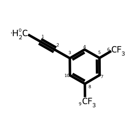 [CH2]C#Cc1cc(C(F)(F)F)cc(C(F)(F)F)c1